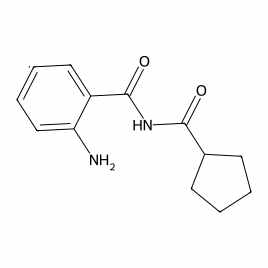 Nc1cc[c]cc1C(=O)NC(=O)C1CCCC1